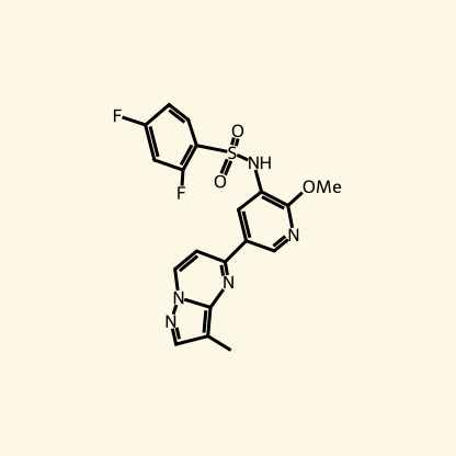 COc1ncc(-c2ccn3ncc(C)c3n2)cc1NS(=O)(=O)c1ccc(F)cc1F